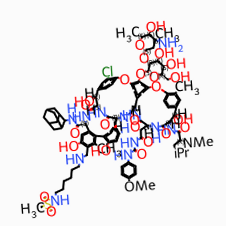 CN[C@H](CC(C)C)C(=O)N[C@H]1C(=O)N[C@@H](CC(=O)NC(=O)Nc2ccc(OC)cc2)C(=O)N[C@H]2C(=O)N[C@H]3C(=O)N[C@H](C(=O)N[C@H](C(=O)NC4C5CC6CC(C5)CC4C6)c4cc(O)c(CNCCCCCCNS(C)(=O)=O)c(C)c4-c4cc3ccc4O)[C@H](O)c3ccc(c(Cl)c3)Oc3cc2cc(c3O[C@@H]2O[C@H](CO)[C@@H](O)[C@H](O)[C@H]2O[C@H]2C[C@](C)(N)[C@H](O)[C@H](C)O2)Oc2ccc(cc2C)[C@H]1O